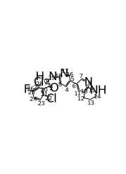 C[C@@H](Oc1cc(-c2cnc3c(c2)CCCN3)cnc1N)c1c(Cl)ccc(F)c1Cl